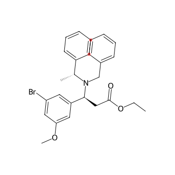 CCOC(=O)C[C@@H](c1cc(Br)cc(OC)c1)N(Cc1ccccc1)[C@H](C)c1ccccc1